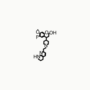 COc1ccc(C(CC(=O)O)C2CCN(CCc3ccc4c(n3)NCCC4)CC2)cc1F